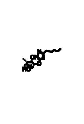 CCCCCC1=NCC(O[C@H](CO)[C@@H](O)[C@@H](C)O)S1